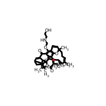 COC(=O)/C(C)=C\CC12OC(C)(C)C3CC(C=C4C(=O)c5c(OCNCCO)c6c(c(CC=C(C)C)c5OC431)OC(C)(CCC=C(C)C)C=C6)C2=O